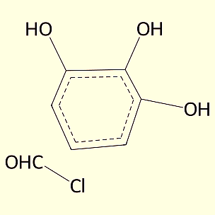 O=CCl.Oc1cccc(O)c1O